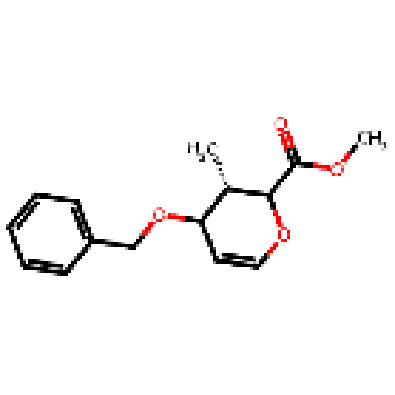 COC(=O)C1OC=CC(OCc2ccccc2)[C@@H]1C